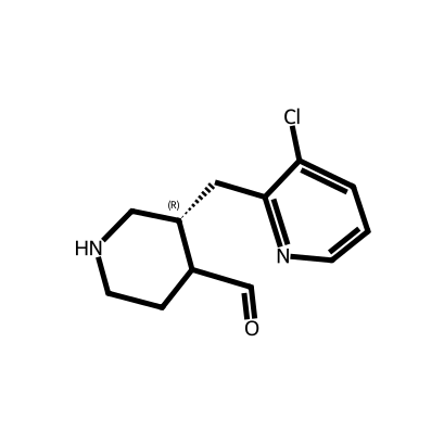 O=CC1CCNC[C@@H]1Cc1ncccc1Cl